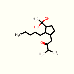 CCCCCC1C(CC(=O)C(C)C)CCC1C(C)(O)O